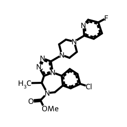 COC(=O)N1Cc2cc(Cl)ccc2-n2c(nnc2N2CCN(c3ccc(F)cn3)CC2)C1C